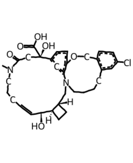 CN1CCC/C=C/[C@H](O)[C@@H]2CC[C@H]2CN2CCCCc3cc(Cl)ccc3COc3ccc(cc32)[C@@](O)(C(=O)O)CC1=O